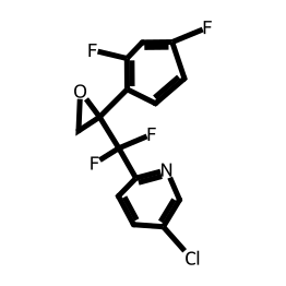 Fc1ccc(C2(C(F)(F)c3ccc(Cl)cn3)CO2)c(F)c1